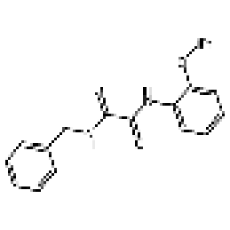 CC(C)Oc1ccccc1NC(=O)C(=O)NCc1ccccc1